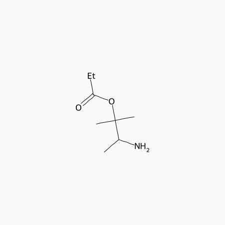 CCC(=O)OC(C)(C)C(C)N